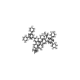 FC(F)(F)c1ccc(-c2cc(-c3cc(-c4ccccc4)nc(-c4ccccc4)n3)cc(-c3ccc(C(F)(F)F)cc3)c2-n2c3ccccc3c3cc(-c4nc(-c5ccccc5)nc(-c5ccccc5)n4)ccc32)cc1